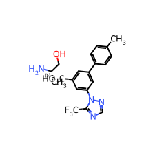 C[C@H](N)CO.Cc1ccc(-c2cc(C(=O)O)cc(-n3ncnc3C(F)(F)F)c2)cc1